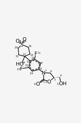 O=C1O[C@@H](CO)CN1c1cc(F)c(C2(O)CCS(=O)(=O)CC2)c(F)c1